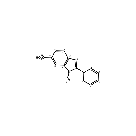 CC(C)n1c(-c2ccccc2)cc2ccc(C(=O)O)cc21